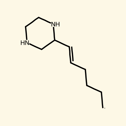 [CH2]CCCC=CC1CNCCN1